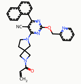 C=CC(=O)N1CC2(CCN(c3nc(OCc4ccccn4)nc(-c4cccc5ccccc45)c3C#N)C2)C1